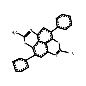 CC1=Nc2cc(-c3ccccc3)c3c4c(cc(-c5ccccc5)c(c24)O1)N=C(C)O3